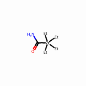 C[CH2][Zr]([CH2]C)([CH2]C)([CH2]C)[C](N)=O